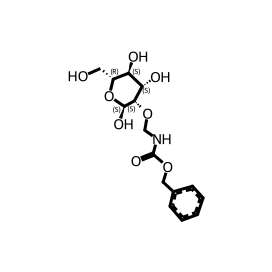 O=C(NCO[C@H]1[C@@H](O)[C@H](O)[C@@H](CO)O[C@@H]1O)OCc1ccccc1